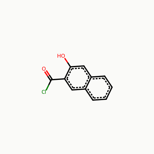 O=C(Cl)c1cc2ccccc2cc1O